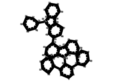 c1ccc(-c2cccc(-c3ccccc3)c2-n2c3ccccc3c3c(-c4ccc5c6ccccc6n(-c6ccccc6)c5c4)cccc32)cc1